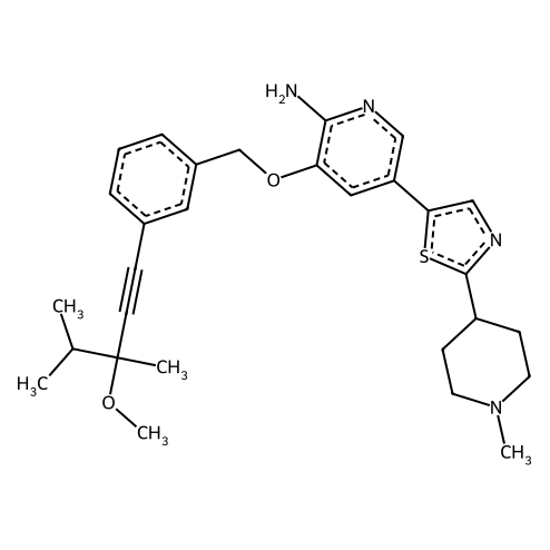 COC(C)(C#Cc1cccc(COc2cc(-c3cnc(C4CCN(C)CC4)s3)cnc2N)c1)C(C)C